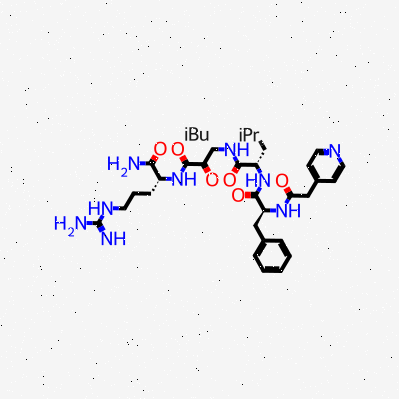 CC[C@H](C)C(NC(=O)[C@H](CC(C)C)NC(=O)[C@H](Cc1ccccc1)NC(=O)Cc1ccncc1)C(=O)C(=O)N[C@H](CCCNC(=N)N)C(N)=O